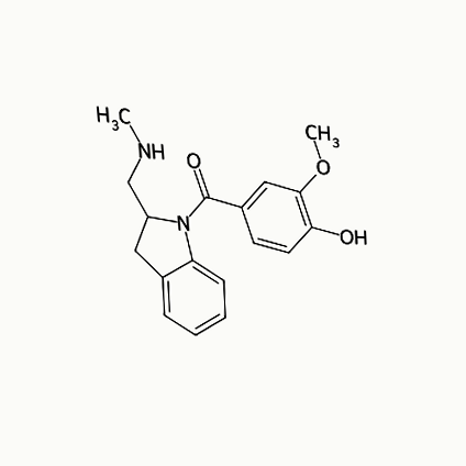 CNCC1Cc2ccccc2N1C(=O)c1ccc(O)c(OC)c1